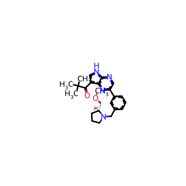 COC[C@H]1CCCN1Cc1cccc(-c2cnc3[nH]cc(C(=O)C(C)(C)C)c3n2)c1